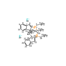 CC(C)CP(CC(C)C)C1=Cc2ccccc2[CH]1[Zr+2][CH]1C(P(CC(C)C)CC(C)C)=Cc2ccccc21.[F-].[F-]